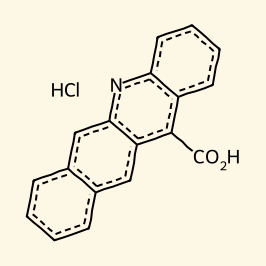 Cl.O=C(O)c1c2ccccc2nc2cc3ccccc3cc12